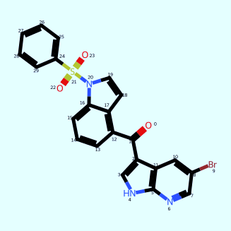 O=C(c1c[nH]c2ncc(Br)cc12)c1cccc2c1ccn2S(=O)(=O)c1ccccc1